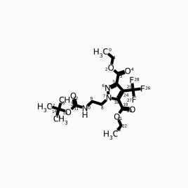 CCOC(=O)c1nn(CCNC(=O)OC(C)(C)C)c(C(=O)OCC)c1C(F)(F)F